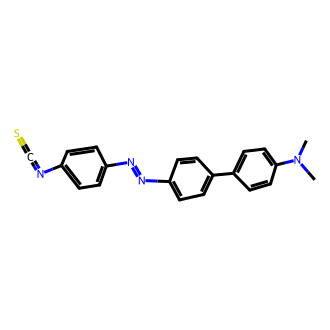 CN(C)c1ccc(-c2ccc(/N=N/c3ccc(N=C=S)cc3)cc2)cc1